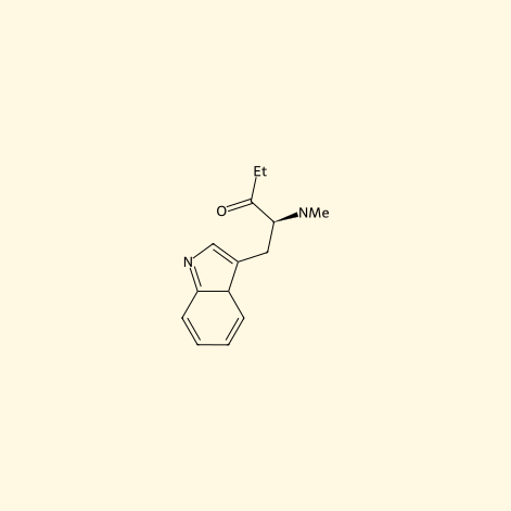 CCC(=O)[C@H](CC1=CN=C2C=CC=CC12)NC